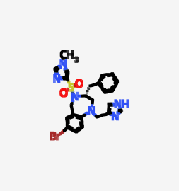 Cn1cnc(S(=O)(=O)N2Cc3cc(Br)ccc3N(Cc3c[nH]cn3)C[C@H]2Cc2ccccc2)c1